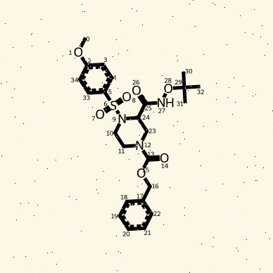 COc1ccc(S(=O)(=O)N2CCN(C(=O)OCc3ccccc3)CC2C(=O)NOC(C)(C)C)cc1